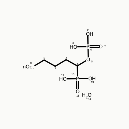 CCCCCCCCCCCC(OP(=O)(O)O)P(=O)(O)O.O